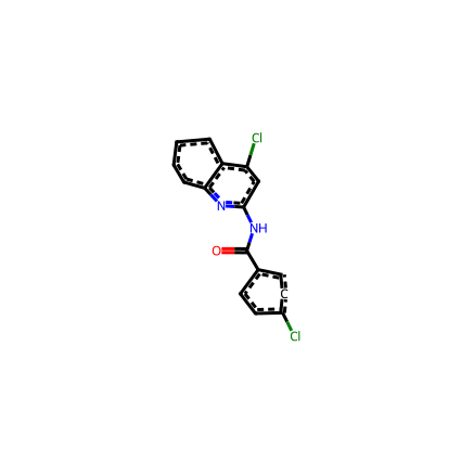 O=C(Nc1cc(Cl)c2ccccc2n1)c1ccc(Cl)cc1